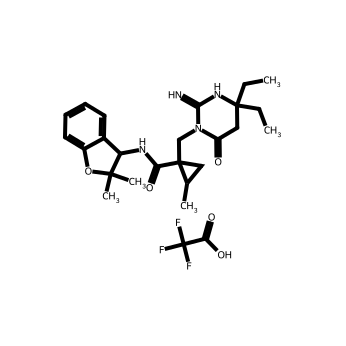 CCC1(CC)CC(=O)N(CC2(C(=O)NC3c4ccccc4OC3(C)C)CC2C)C(=N)N1.O=C(O)C(F)(F)F